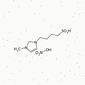 CN1C=CN(CCCCS(=O)(=O)O)C1.O=[N+]([O-])O